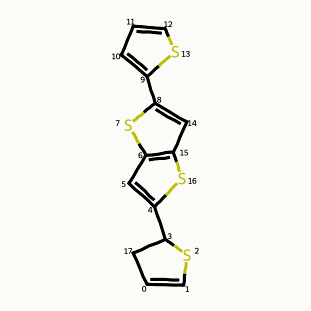 C1=CSC(c2cc3sc(-c4cccs4)cc3s2)C1